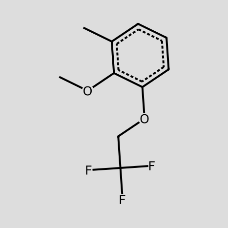 COc1c(C)cccc1OCC(F)(F)F